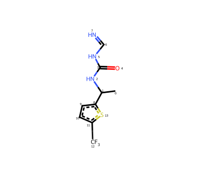 CC(NC(=O)NC=N)c1ccc(C(F)(F)F)s1